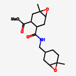 COC(=O)C1CC2(C)OC2CC1C(=O)NCC1CCC2(C)OC2C1